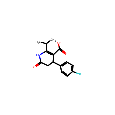 CC(C)C1=C(C(=O)O)C(c2ccc(F)cc2)CC(=O)N1